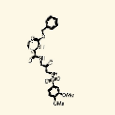 COc1ccc(S(=O)(=O)NCC(=O)CNC(=O)[C@H](CC(C)C)NC(=O)OCc2ccccc2)cc1OC